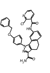 NC(=O)c1nn(-c2ccc(OCc3ccccc3)cc2)c2c1CCc1ccc(NC(=O)c3cccnc3Cl)cc1-2